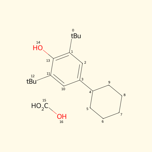 CC(C)(C)c1cc(C2CCCCC2)cc(C(C)(C)C)c1O.O=C(O)O